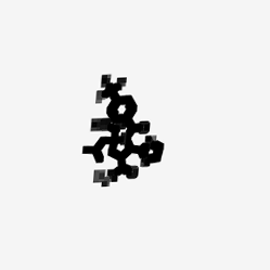 CC(C)CC1(C(=O)O)CC(C(N)=O)C(c2nccs2)N1C(=O)c1ccc(C(F)(F)F)cc1